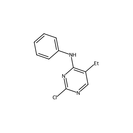 [CH2]Cc1cnc(Cl)nc1Nc1ccccc1